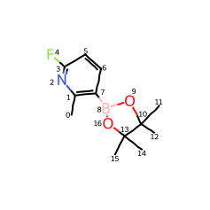 Cc1nc(F)ccc1B1OC(C)(C)C(C)(C)O1